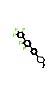 CCC1CCC(c2ccc(-c3ccc(-c4cc(F)c(F)c(F)c4)c(F)c3F)cc2)CC1